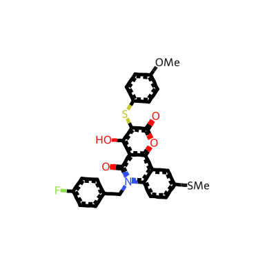 COc1ccc(Sc2c(O)c3c(=O)n(Cc4ccc(F)cc4)c4ccc(SC)cc4c3oc2=O)cc1